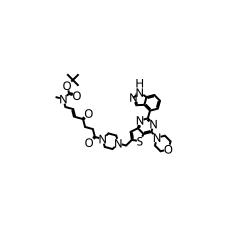 CN(C/C=C/C(=O)CCC(=O)N1CCN(Cc2cc3nc(-c4cccc5[nH]ncc45)nc(N4CCOCC4)c3s2)CC1)C(=O)OC(C)(C)C